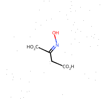 O=C(O)CC(=NO)C(=O)O